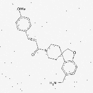 COc1ccc(C=CC(=O)N2CCC3(CC2)COc2ccc(CN)cc23)cc1